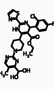 CCOC(=O)C1=C(C2CCN(c3ncc(C)c(C(O)O)n3)CC2)NC(c2nccs2)=NC1c1ccc(F)cc1Cl